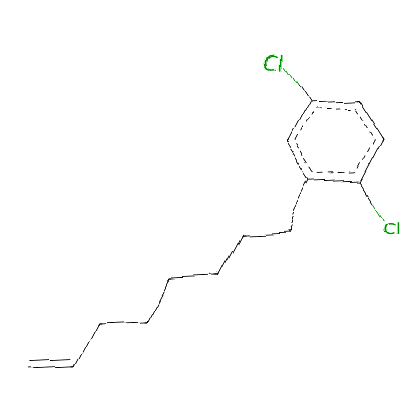 C=CCCCCCCc1cc(Cl)ccc1Cl